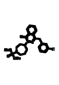 COP(=O)(OC)N1CCCC(n2nc(Cc3cccc(Cl)c3)c3ccccc3c2=O)CC1